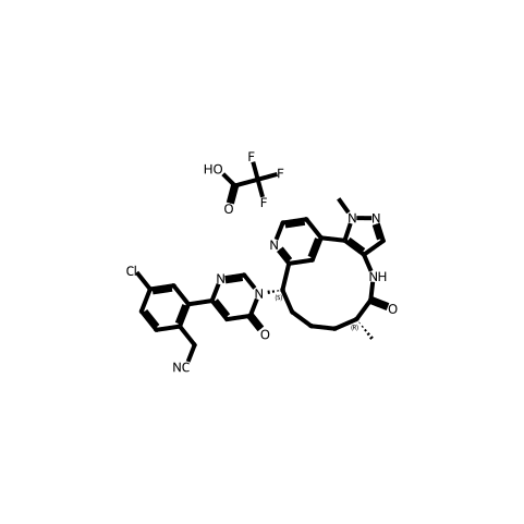 C[C@@H]1CCC[C@H](n2cnc(-c3cc(Cl)ccc3CC#N)cc2=O)c2cc(ccn2)-c2c(cnn2C)NC1=O.O=C(O)C(F)(F)F